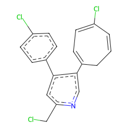 ClCc1cc(-c2ccc(Cl)cc2)c(C2=CC=C(Cl)C=CC2)cn1